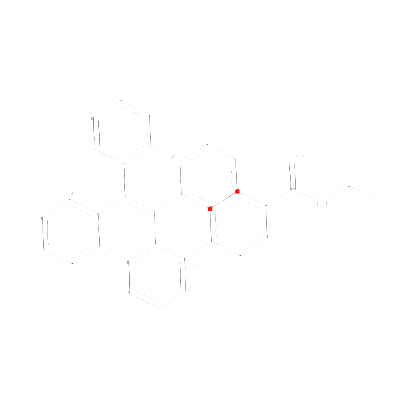 CCOC(=O)c1ccc(-c2ccccc2C(=C(c2ccccc2)c2ccccc2)c2ccccc2)cc1